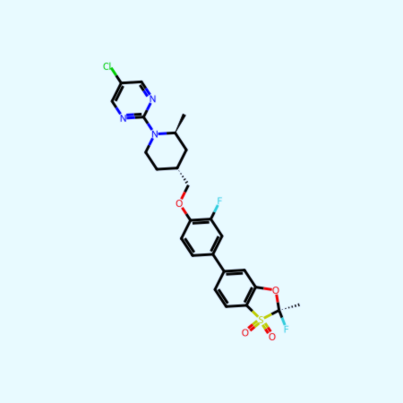 C[C@H]1C[C@H](COc2ccc(-c3ccc4c(c3)O[C@@](C)(F)S4(=O)=O)cc2F)CCN1c1ncc(Cl)cn1